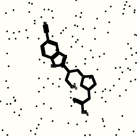 CCC(CN1CCC(CC(C)=O)C1)c1nc2cc(C#N)ccc2[nH]1